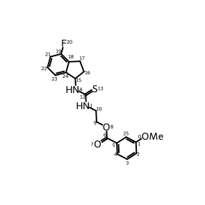 COc1cccc(C(=O)OCCNC(=S)NC2CCc3c(F)cccc32)c1